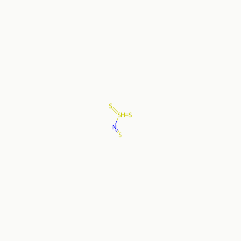 S=N[SH](=S)=S